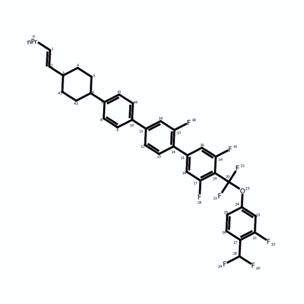 CCC/C=C/C1CCC(c2ccc(-c3ccc(-c4cc(F)c(C(F)(F)Oc5ccc(C(F)F)c(F)c5)c(F)c4)c(F)c3)cc2)CC1